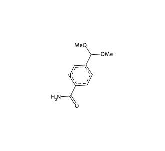 COC(OC)c1ccc(C(N)=O)nc1